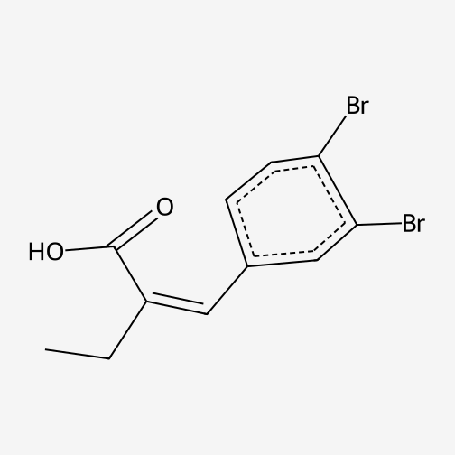 CCC(=Cc1ccc(Br)c(Br)c1)C(=O)O